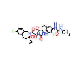 CNC(=O)Nc1cc2c(cc1F)[C@@]1(CC2)NC(=O)N(CC(=O)N2Cc3ccc(F)cc3CC[C@@]2(O)C2CC2)C1=O